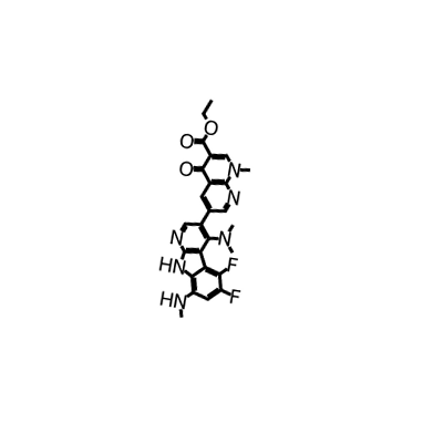 CCOC(=O)c1cn(C)c2ncc(-c3cnc4[nH]c5c(NC)cc(F)c(F)c5c4c3N(C)C)cc2c1=O